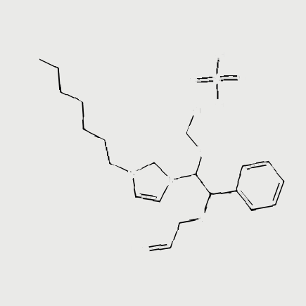 C=CCOC(c1ccccc1)C(OCC)N1C=CN(CCCCCCC)C1.O=S(=O)(O)O